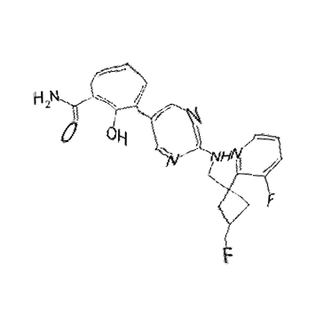 NC(=O)c1cccc(-c2cnc(NCC3(c4ncccc4F)CC(F)C3)nc2)c1O